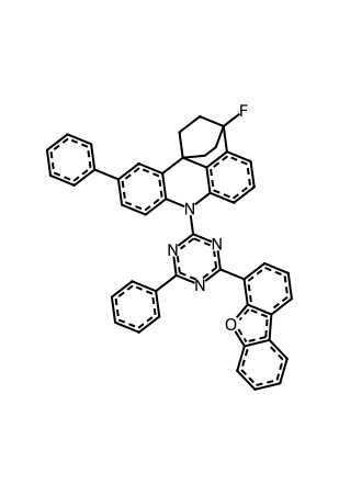 FC12CCC3(CC1)c1cc(-c4ccccc4)ccc1N(c1nc(-c4ccccc4)nc(-c4cccc5c4oc4ccccc45)n1)c1cccc2c13